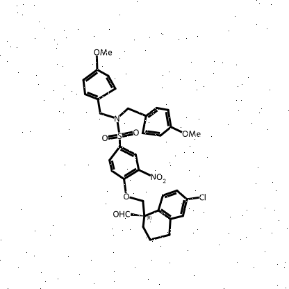 COc1ccc(CN(Cc2ccc(OC)cc2)S(=O)(=O)c2ccc(OC[C@@]3(C=O)CCCc4cc(Cl)ccc43)c([N+](=O)[O-])c2)cc1